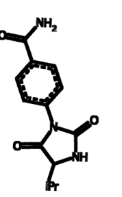 CC(C)C1NC(=O)N(c2ccc(C(N)=O)cc2)C1=O